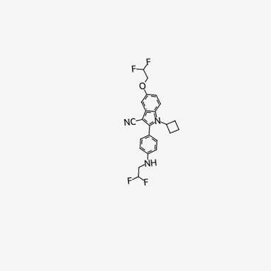 N#Cc1c(-c2ccc(NCC(F)F)cc2)n(C2CCC2)c2ccc(OCC(F)F)cc12